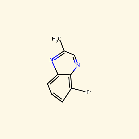 Cc1cnc2c(C(C)C)cccc2n1